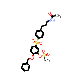 O=C(NCCCc1ccc(S(=O)(=O)c2ccc(OCc3ccccc3)c(OS(=O)(=O)C(F)(F)F)c2)cc1)C(F)(F)F